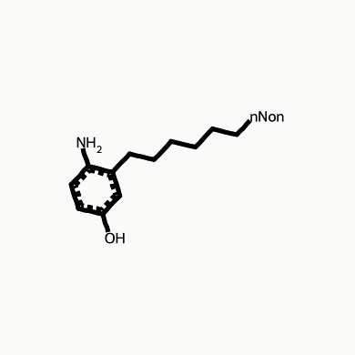 CCCCCCCCCCCCCCCc1cc(O)ccc1N